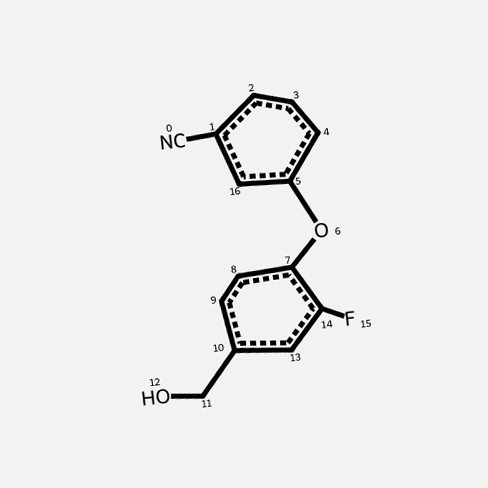 N#Cc1cccc(Oc2ccc(CO)cc2F)c1